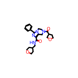 O=C(NCC1CCOCC1)c1nc(-c2ccccc2)n2c1CN(C(=O)C1CCOC1)CC2